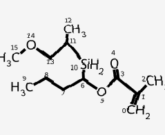 C=C(C)C(=O)OC(CCC)[SiH2]C(C)COC